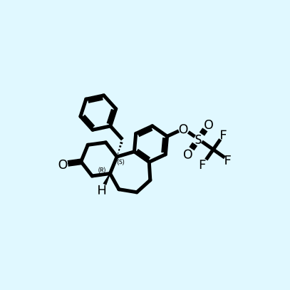 O=C1CC[C@@]2(Cc3ccccc3)c3ccc(OS(=O)(=O)C(F)(F)F)cc3CCC[C@@H]2C1